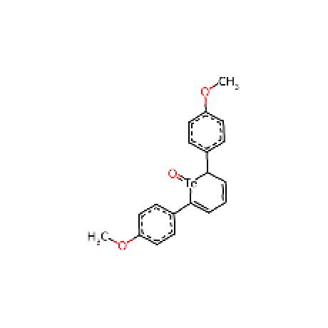 COc1ccc(C2=CC=CC(c3ccc(OC)cc3)[Te]2=O)cc1